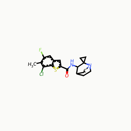 Cc1c(F)cc2cc(C(=O)NC3C4CCN(CC4)C34CC4)sc2c1Cl